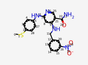 CSc1ccc(Nc2cc(NCc3cccc([N+](=O)[O-])c3)c(C(N)=O)cn2)cc1